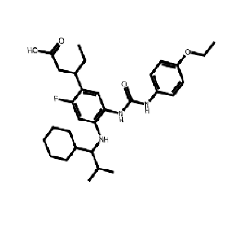 CCOc1ccc(NC(=O)Nc2cc(C(CC)CC(=O)O)c(F)cc2NC(C(C)C)C2CCCCC2)cc1